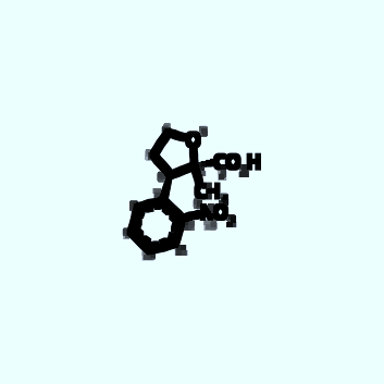 C[C@]1(C(=O)O)OCC[C@@H]1c1ccccc1[N+](=O)[O-]